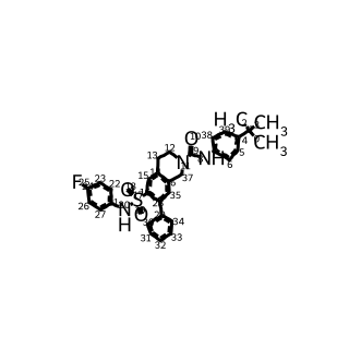 CC(C)(C)c1ccc(NC(=O)N2CCc3cc(S(=O)(=O)Nc4ccc(F)cc4)c(-c4ccccc4)cc3C2)cc1